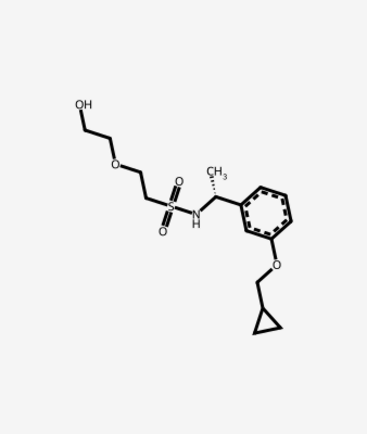 C[C@@H](NS(=O)(=O)CCOCCO)c1cccc(OCC2CC2)c1